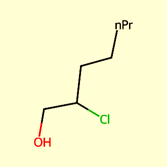 CCCCCC(Cl)CO